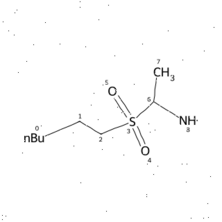 CCCCCCS(=O)(=O)C(C)[NH]